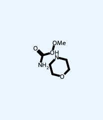 C1COCCN1.COOC(N)=O